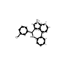 Clc1cccc(C2Nc3ccccc3-c3ccnc4[nH]cc2c34)c1